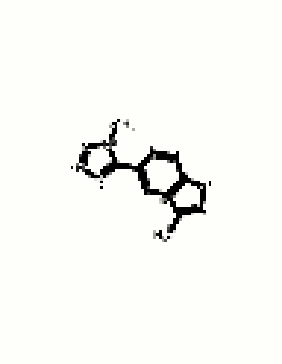 Cc1csc2ccc(-c3nnnn3C)cc12